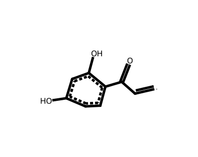 [CH]=CC(=O)c1ccc(O)cc1O